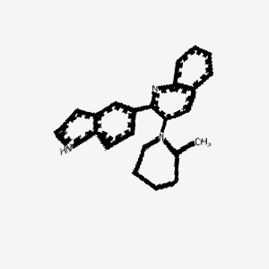 CC1CCCCN1c1cc2ccccc2nc1-c1ccc2[nH]ccc2c1